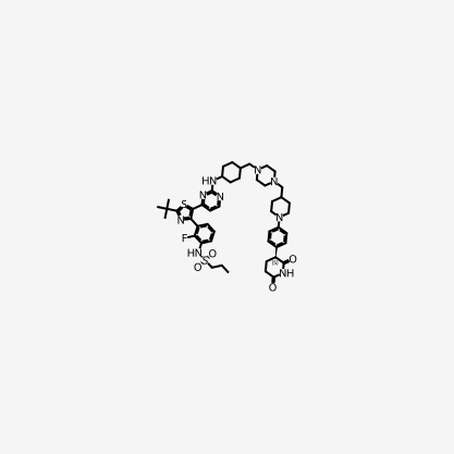 CCCS(=O)(=O)Nc1cccc(-c2nc(C(C)(C)C)sc2-c2ccnc(NC3CCC(CN4CCN(CC5CCN(c6ccc([C@@H]7CCC(=O)NC7=O)cc6)CC5)CC4)CC3)n2)c1F